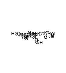 CC(C)c1ccccc1C1CN(Cc2ncn(C)n2)CCN1C1CC2(CCN(c3ccc(C(=O)NS(=O)(=O)c4ccc(NC[C@H]5CC[C@](C)(O)CC5)c([N+](=O)[O-])c4)c(Oc4cnc5[nH]ccc5c4)c3)CC2)C1